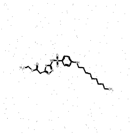 CCCCCCCCCCNc1ccc(S(=O)(=O)Nc2nnc(CC(=O)OCC)s2)cc1